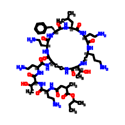 CCC(C)OC(=O)C(C)CC(=O)N[C@@H](CCN)C(=O)N[C@H](C(=O)N[C@@H](CCN)C(=O)N[C@H]1CCNC(=O)[C@H]([C@H](C)O)NC[C@H](CCCN)NC(=O)[C@H](CCN)NC(=O)[C@H](CC(C)C)NC(=O)[C@@H](Cc2ccccc2)NC(=O)[C@H](CCN)NC1=O)C(C)O